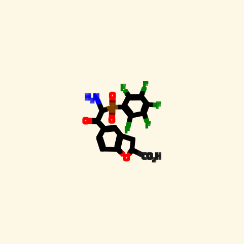 NC(C(=O)c1ccc2c(c1)CC(C(=O)O)O2)S(=O)(=O)c1c(F)c(F)c(F)c(F)c1F